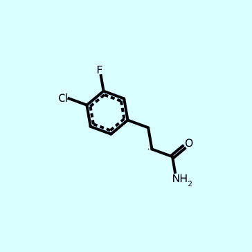 NC(=O)[CH]Cc1ccc(Cl)c(F)c1